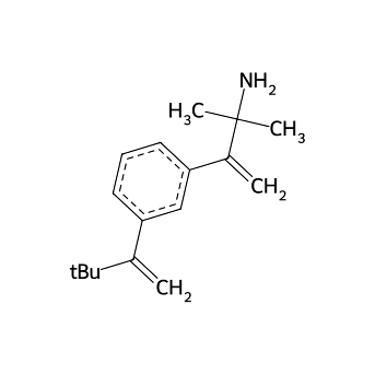 C=C(c1cccc(C(=C)C(C)(C)N)c1)C(C)(C)C